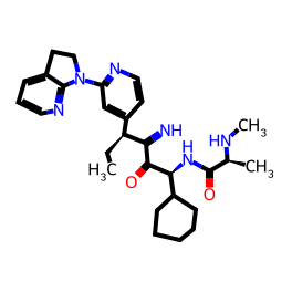 CC[C@H](C(=N)C(=O)[C@@H](NC(=O)[C@H](C)NC)C1CCCCC1)c1ccnc(N2CCc3cccnc32)c1